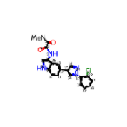 CNC(=O)C(=O)Nc1c[nH]c2ccc(-c3cnn(-c4ccccc4Cl)c3)cc12